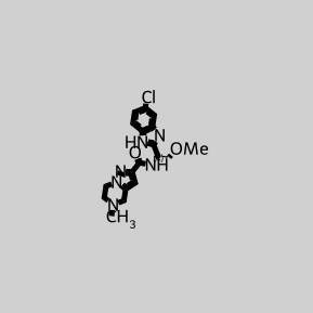 COC[C@H](NC(=O)c1cc2n(n1)CCN(C)C2)c1nc2cc(Cl)ccc2[nH]1